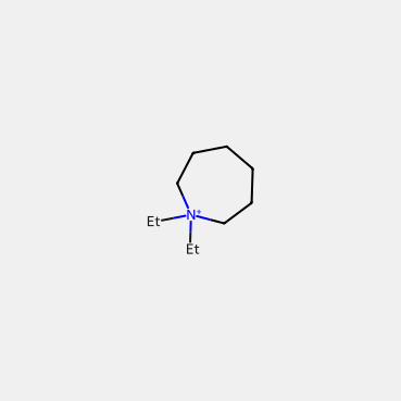 CC[N+]1(CC)CCCCCC1